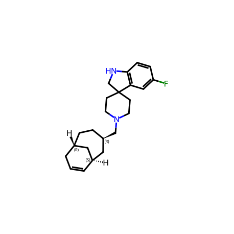 Fc1ccc2c(c1)C1(CCN(C[C@@H]3CC[C@H]4CC=C[C@@H](C4)C3)CC1)CN2